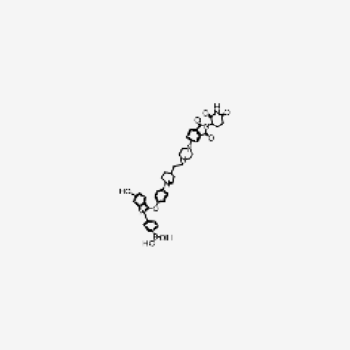 O=C1CCC(N2C(=O)c3ccc(N4CCN(CCC5CCN(c6ccc(Oc7c(-c8ccc(B(O)O)cc8)sc8cc(O)ccc78)cc6)CC5)CC4)cc3C2=O)C(=O)N1